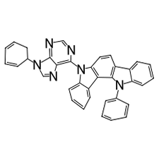 C1=CCC(n2cnc3c(-n4c5ccccc5c5c4ccc4c6ccccc6n(-c6ccccc6)c45)ncnc32)C=C1